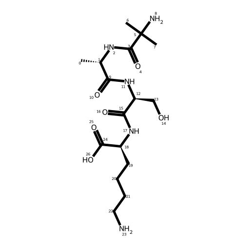 C[C@H](NC(=O)C(C)(C)N)C(=O)N[C@@H](CO)C(=O)N[C@@H](CCCCN)C(=O)O